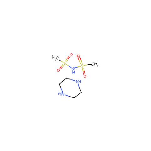 C1CNCCN1.CS(=O)(=O)NS(C)(=O)=O